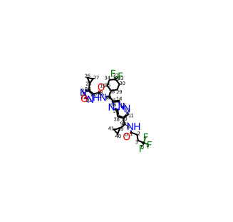 O=C(CCC(F)(F)F)N[C@@H](c1cnn2cc([C@@H](NC(=O)c3nonc3C3CC3)C3CCC(F)(F)CC3)nc2c1)C1CC1